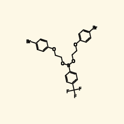 FC(F)(F)c1ccc(B(OCCOc2ccc(Br)cc2)OCCOc2ccc(Br)cc2)cc1